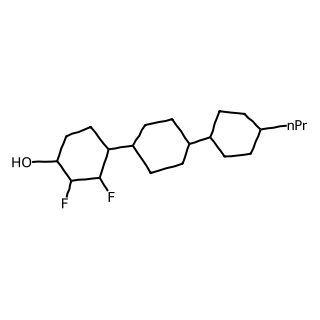 CCCC1CCC(C2CCC(C3CCC(O)C(F)C3F)CC2)CC1